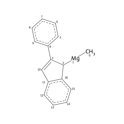 [CH3][Mg][CH]1C(c2ccccc2)=Cc2ccccc21